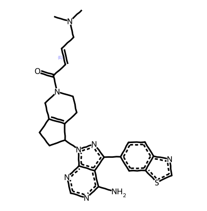 CN(C)C/C=C/C(=O)N1CCC2=C(CCC2n2nc(-c3ccc4ncsc4c3)c3c(N)ncnc32)C1